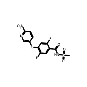 CS(=O)(=O)NC(=O)c1cc(F)c(Oc2ccc([N+](=O)[O-])nc2)cc1F